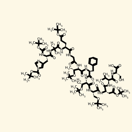 CC(C)[C@H](NC(=O)[C@H](CC(=O)OC(C)(C)C)NC(=O)[C@H](COC(C)(C)C)NC(=O)[C@@H](NC(=O)[C@H](Cc1ccccc1)NC(=O)[C@@H](NC(=O)CNC(=O)[C@H](CCC(=O)OC(C)(C)C)NC(=O)C(C)(C)NC(=O)[C@H](Cc1cn(C(=O)OC(C)(C)C)cn1)NC(=O)OC(C)(C)C)[C@@H](C)OC(C)(C)C)[C@@H](C)OC(C)(C)C)C(=O)N[C@@H](CO)C(=O)O